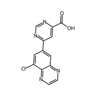 O=C(O)c1cc(-c2cc(Cl)c3nccnc3c2)ncn1